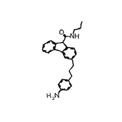 CCCNC(=O)C1c2ccccc2-c2cc(CCCc3ccc(N)cc3)ccc21